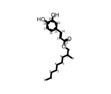 CCCCCCCC(C)COC(=O)C=Cc1ccc(O)c(O)c1